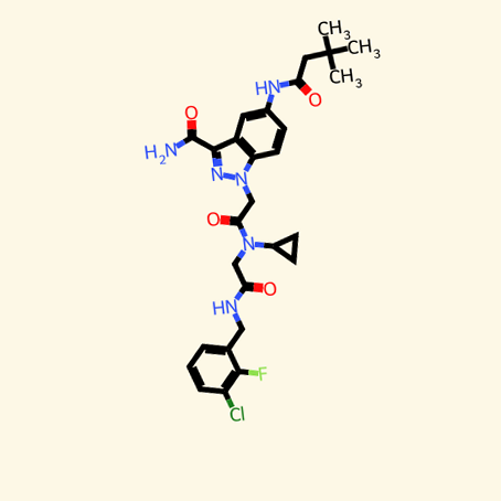 CC(C)(C)CC(=O)Nc1ccc2c(c1)c(C(N)=O)nn2CC(=O)N(CC(=O)NCc1cccc(Cl)c1F)C1CC1